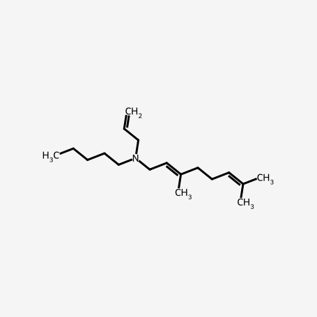 C=CCN(C/C=C(\C)CCC=C(C)C)CCCCC